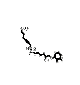 O=C(O)CCCC#CCNS(=O)(=O)CCCCC(O)COc1cccc(F)c1F